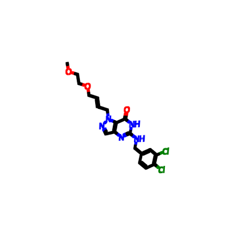 COCCOC/C=C/Cn1ncc2nc(NCc3ccc(Cl)c(Cl)c3)[nH]c(=O)c21